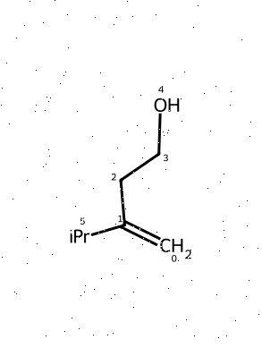 C=C(CCO)C(C)C